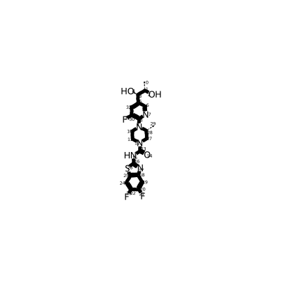 C[C@H](O)[C@@H](O)c1cnc(N2CCN(C(=O)Nc3nc4cc(F)c(F)cc4s3)C[C@H]2C)c(F)c1